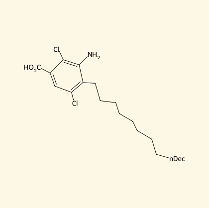 CCCCCCCCCCCCCCCCCCc1c(Cl)cc(C(=O)O)c(Cl)c1N